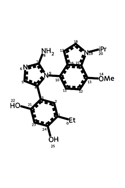 CCc1cc(-c2cnc(N)n2-c2ccc(OC)c3c2ccn3C(C)C)c(O)cc1O